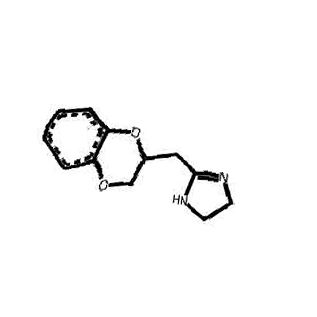 c1ccc2c(c1)OCC(CC1=NCCN1)O2